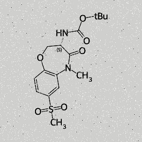 CN1C(=O)[C@@H](NC(=O)OC(C)(C)C)COc2ccc(S(C)(=O)=O)cc21